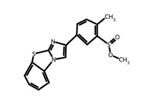 COS(=O)c1cc(-c2cn3c(n2)sc2ccccc23)ccc1C